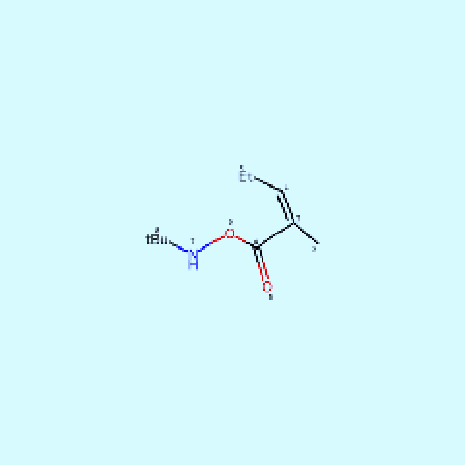 CCC=C(C)C(=O)ONC(C)(C)C